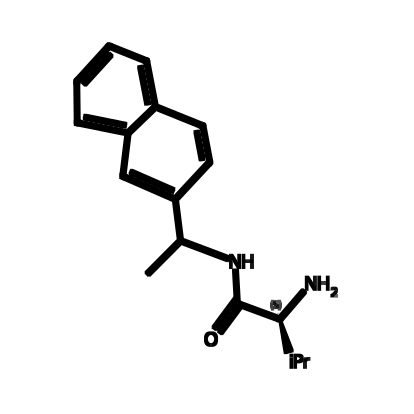 CC(NC(=O)[C@@H](N)C(C)C)c1ccc2ccccc2c1